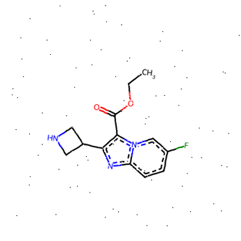 CCOC(=O)c1c(C2CNC2)nc2ccc(F)cn12